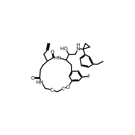 C#CCC1CCC(=O)NCCCCOc2cc(F)cc(c2)CC(C(O)CNC2(c3cccc(CC)c3)CC2)NC1=O